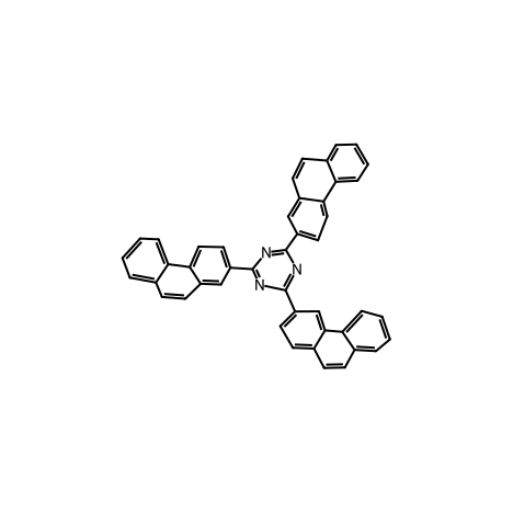 c1ccc2c(c1)ccc1cc(-c3nc(-c4ccc5c(ccc6ccccc65)c4)nc(-c4ccc5ccc6ccccc6c5c4)n3)ccc12